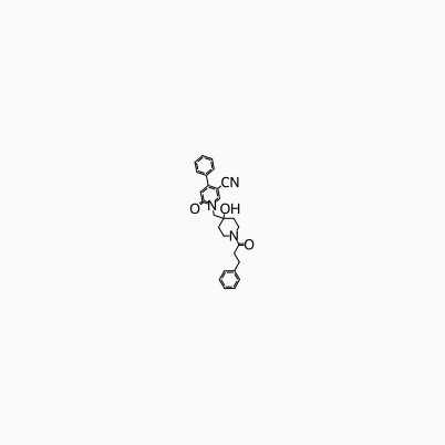 N#Cc1cn(CC2(O)CCN(C(=O)CCc3ccccc3)CC2)c(=O)cc1-c1ccccc1